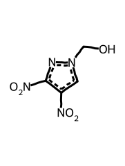 O=[N+]([O-])c1cn(CO)nc1[N+](=O)[O-]